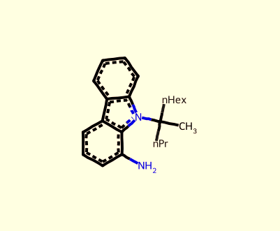 CCCCCCC(C)(CCC)n1c2ccccc2c2cccc(N)c21